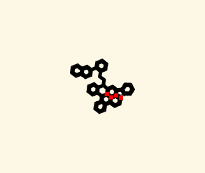 c1ccc(-c2ccc3ccccc3c2)c(CCC(c2ccc3sc4ccccc4c3c2)c2ccccc2-c2cc3ccccc3c3ccccc23)c1